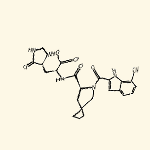 COC(=O)[C@H](C[C@@H]1CCNC1=O)NC(=O)[C@@H]1CC2(CC2)CN1C(=O)c1cc2cccc(C#N)c2[nH]1